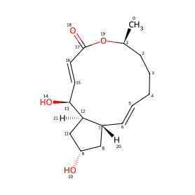 C[C@H]1CCC/C=C/[C@@H]2C[C@H](O)C[C@H]2[C@@H](O)/C=C/C(=O)O1